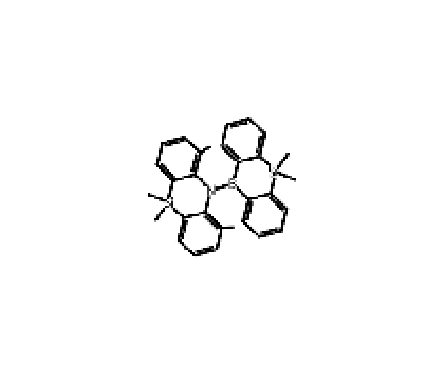 Cc1cccc2c1N(B1c3ccccc3[Si](C)(C)c3ccccc31)c1c(C)cccc1[Si]2(C)C